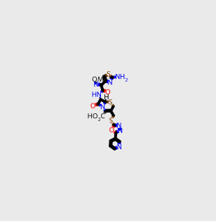 CON=C(C(=O)N[C@@H]1C(=O)N2C(C(=O)O)=C(CSc3nnc(-c4cccnc4)o3)CS[C@@H]12)c1csc(N)n1